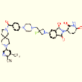 N#Cc1ncc(N2CCC3(CCN(C(=O)c4ccc(N5CCN(CC6(F)CN(c7ccc8c(c7)C(=O)N(C7CCC(=O)NC7=O)C8=O)C6)CC5)cc4)C3)CC2)cc1C(F)(F)F